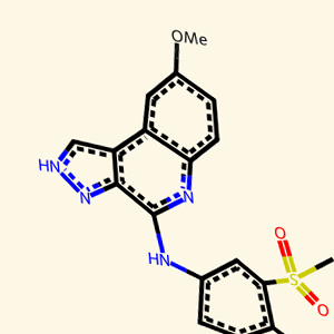 COc1ccc2nc(Nc3ccc(F)c(S(C)(=O)=O)c3)c3n[nH]cc3c2c1